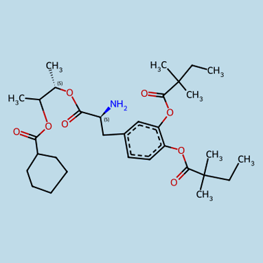 CCC(C)(C)C(=O)Oc1ccc(C[C@H](N)C(=O)O[C@@H](C)C(C)OC(=O)C2CCCCC2)cc1OC(=O)C(C)(C)CC